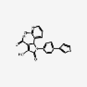 CC(C)C(=O)C1=C(O)C(=O)N(c2ccc(-c3ccsc3)cc2)C1c1cccnc1Cl